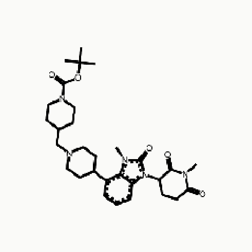 CN1C(=O)CCC(n2c(=O)n(C)c3c(C4CCN(CC5CCN(C(=O)OC(C)(C)C)CC5)CC4)cccc32)C1=O